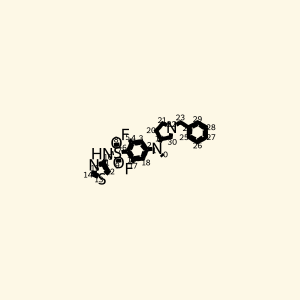 CN(c1cc(F)c(S(=O)(=O)Nc2cscn2)c(F)c1)C1CCN(Cc2ccccc2)C1